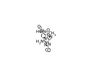 CC(C(=O)NCC1(O)COC1)(c1ccccc1)n1ncc2c1nc(N)n1nc(-c3ccco3)nc21